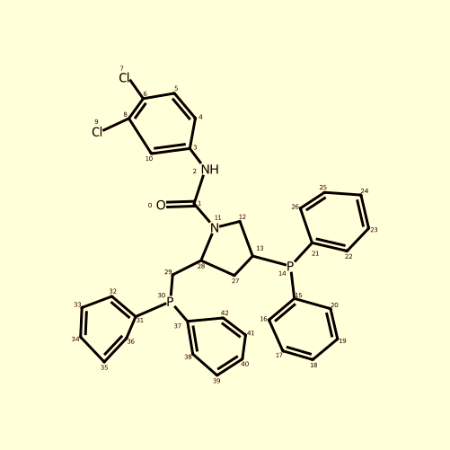 O=C(Nc1ccc(Cl)c(Cl)c1)N1CC(P(c2ccccc2)c2ccccc2)CC1CP(c1ccccc1)c1ccccc1